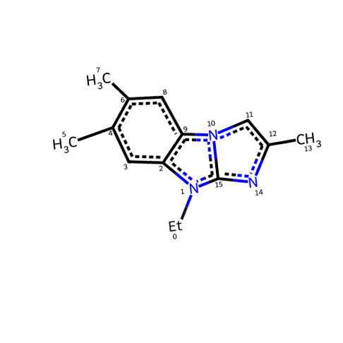 CCn1c2cc(C)c(C)cc2n2cc(C)nc12